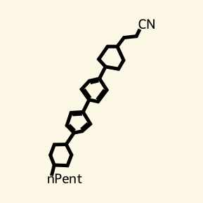 CCCCCC1CCC(c2ccc(-c3ccc(C4CCC(CCC#N)CC4)cc3)cc2)CC1